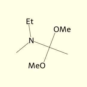 CCN(C)C(C)(OC)OC